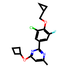 Cc1cc(OC2CCC2)nc(-c2cc(F)c(OCC3CC3)c(Cl)c2)n1